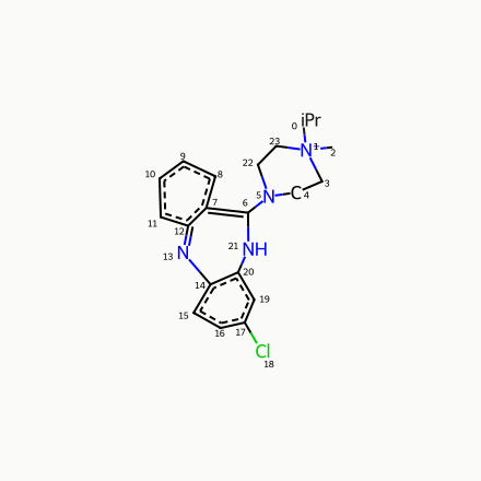 CC(C)[N+]1(C)CCN(C2=c3ccccc3=Nc3ccc(Cl)cc3N2)CC1